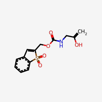 C=C(O)CNC(=O)OCC1=Cc2ccccc2S1(=O)=O